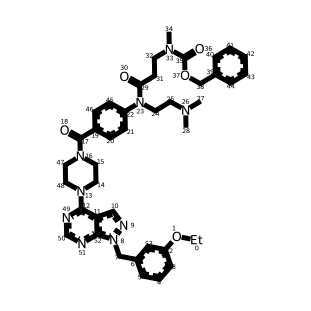 CCOc1cccc(Cn2ncc3c(N4CCN(C(=O)c5ccc(N(CCN(C)C)C(=O)CCN(C)C(=O)OCc6ccccc6)cc5)CC4)ncnc32)c1